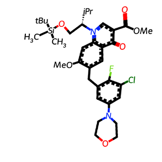 COC(=O)c1cn([C@H](CO[Si](C)(C)C(C)(C)C)C(C)C)c2cc(OC)c(Cc3cc(N4CCOCC4)cc(Cl)c3F)cc2c1=O